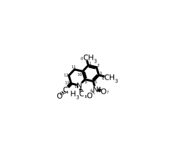 Cc1cc(C)c([N+](=O)[O-])c2c1CCC(=C=O)N2C